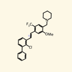 COc1cc(/C=C/c2cccc(-c3ccccc3)c2Cl)c(C(F)(F)F)cc1CN1CCCCC1